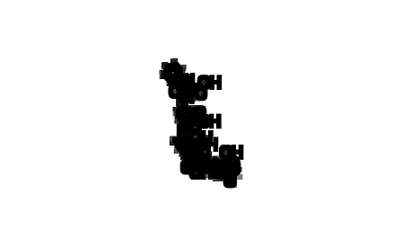 O=C(O)C1=NN(c2ccccc2)C(=O)C1N=Nc1ccc(N=Nc2ccc3cc(S(=O)(=O)O)c(N=Nc4ccc([N+](=O)[O-])c(C(=O)O)c4)c(O)c3c2O)c(S(=O)(=O)O)c1